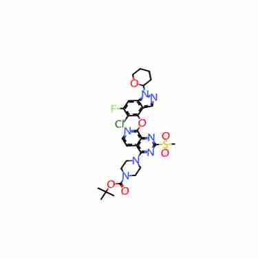 CC(C)(C)OC(=O)N1CCN(c2nc(S(C)(=O)=O)nc3c(Oc4c(Cl)c(F)cc5c4cnn5C4CCCCO4)nccc23)CC1